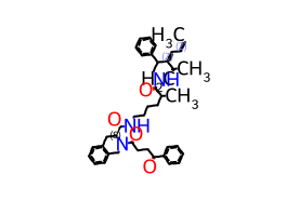 C=C(C)/C(=C\C=C/C)C(CNC(=O)C(C)CCCCNC(=O)[C@@H]1Cc2ccccc2CN1C(=O)CCC(=O)c1ccccc1)c1ccccc1